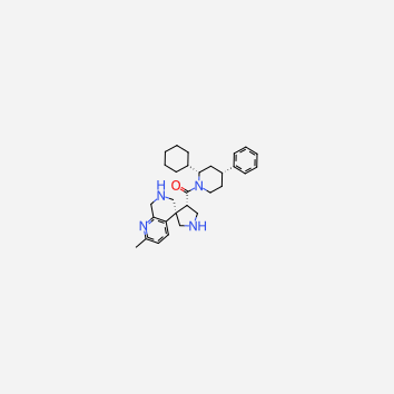 Cc1ccc2c(n1)CNC[C@]21CNC[C@H]1C(=O)N1CC[C@@H](c2ccccc2)C[C@H]1C1CCCCC1